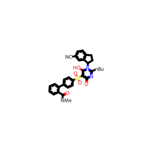 CCCCc1nc(=O)c(S(=O)(=O)c2ccc(-c3ccccc3C(=O)NC)cc2)c(O)n1C1CCc2ccc(C#N)cc21